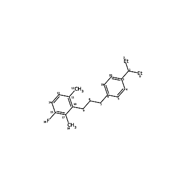 CCC(CC)c1ccc(CCCc2c(C)ccc(F)c2C)cc1